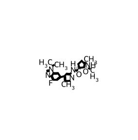 CC(=O)NC1(C)CC[C@H](C(=O)Nc2cc(-c3cc(F)c4ncn(C(C)C)c4c3)c(C)cn2)C1